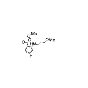 COCCCNc1cc(F)ccc1C(=O)OOC(C)(C)C